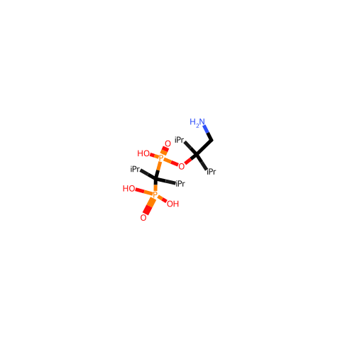 CC(C)C(CN)(OP(=O)(O)C(C(C)C)(C(C)C)P(=O)(O)O)C(C)C